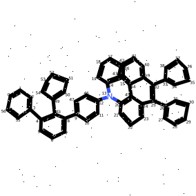 c1ccc(-c2cccc(-c3ccc(N(c4ccccc4)c4cccc5c(-c6ccccc6)c(-c6ccccc6)c6ccccc6c45)cc3)c2-c2ccccc2)cc1